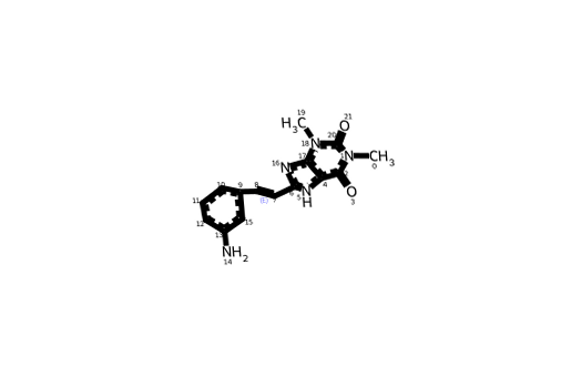 Cn1c(=O)c2[nH]c(/C=C/c3cccc(N)c3)nc2n(C)c1=O